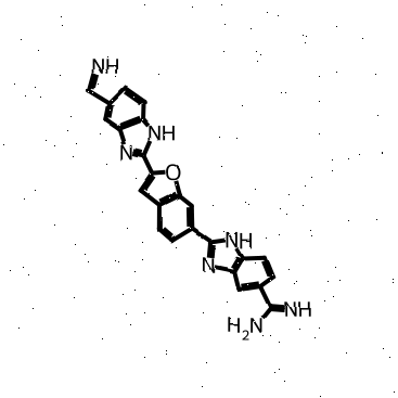 N=Cc1ccc2[nH]c(-c3cc4ccc(-c5nc6cc(C(=N)N)ccc6[nH]5)cc4o3)nc2c1